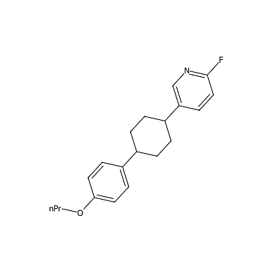 CCCOc1ccc(C2CCC(c3ccc(F)nc3)CC2)cc1